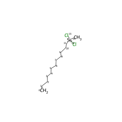 C=CCCCCCCCCCC[Si](C)(Cl)Cl